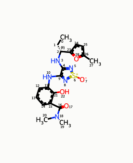 CC[C@@H](Nc1n[s+]([O-])nc1Nc1cccc(C(=O)N(C)C)c1O)c1ccc(C)o1